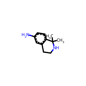 CC1(C)NCCc2cc(N)ccc21